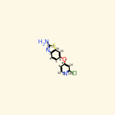 Nc1nc2ccc(Oc3ccnc(Cl)c3)cc2s1